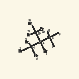 C[Si](C)(C)[Si](Br)([Si](Br)(Br)Br)[Si](Br)(Br)Br